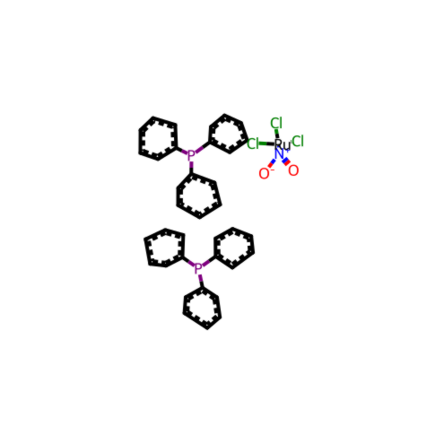 O=[N+]([O-])[Ru]([Cl])([Cl])[Cl].c1ccc(P(c2ccccc2)c2ccccc2)cc1.c1ccc(P(c2ccccc2)c2ccccc2)cc1